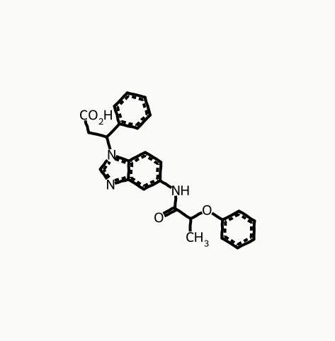 CC(Oc1ccccc1)C(=O)Nc1ccc2c(c1)ncn2C(CC(=O)O)c1ccccc1